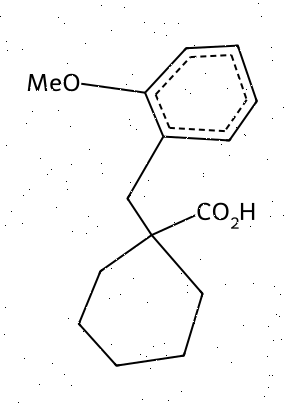 COc1ccccc1CC1(C(=O)O)CCCCC1